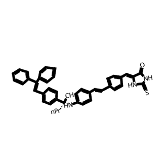 CCC[C@](C)(Nc1ccc(/C=C/c2ccc(/C=C3\NC(=S)NC3=O)cc2)cc1)c1ccc(C=C(c2ccccc2)c2ccccc2)cc1